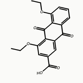 CCOc1cccc2c1C(=O)c1c(OCC)cc(C(=O)O)cc1C2=O